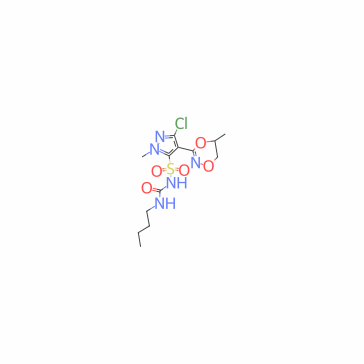 CCCCNC(=O)NS(=O)(=O)c1c(C2=NOCC(C)O2)c(Cl)nn1C